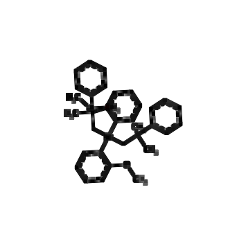 COc1cccc[c]1[Sn]([CH2]C(C)(C)c1ccccc1)([CH2]C(C)(C)c1ccccc1)[c]1ccccc1OC